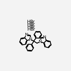 Br.Br.Br.Br.c1ccc(C(Cn2cnc3ccccc32)(c2ccccc2)n2cnc3ccccc32)cc1